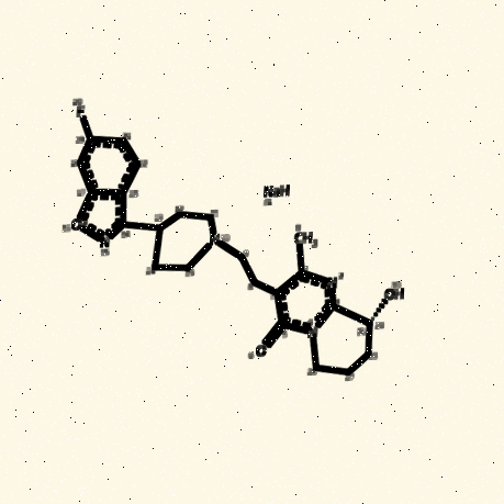 Cc1nc2n(c(=O)c1CCN1CCC(c3noc4cc(F)ccc34)CC1)CCC[C@H]2O.[NaH]